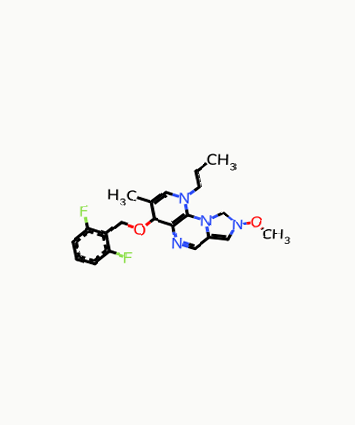 CCCN1C=C(C)C(OCc2c(F)cccc2F)C2=C1N1CN(OC)C=C1C=N2